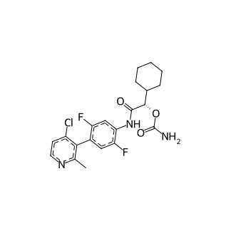 Cc1nccc(Cl)c1-c1cc(F)c(NC(=O)[C@@H](OC(N)=O)C2CCCCC2)cc1F